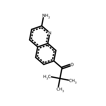 CC(C)(C)C(=O)c1ccc2ccc(N)nc2c1